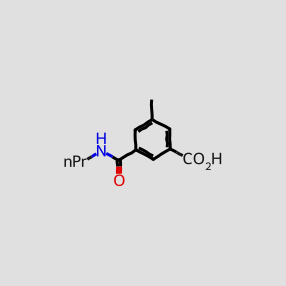 CCCNC(=O)c1cc(C)cc(C(=O)O)c1